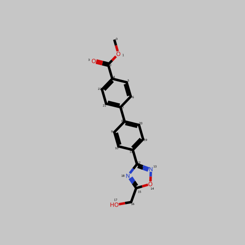 COC(=O)c1ccc(-c2ccc(-c3noc(CO)n3)cc2)cc1